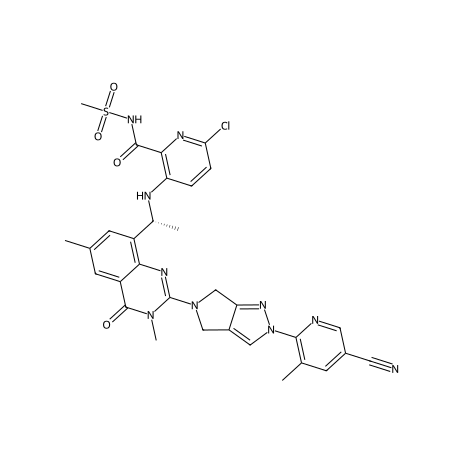 Cc1cc([C@@H](C)Nc2ccc(Cl)nc2C(=O)NS(C)(=O)=O)c2nc(N3Cc4cn(-c5ncc(C#N)cc5C)nc4C3)n(C)c(=O)c2c1